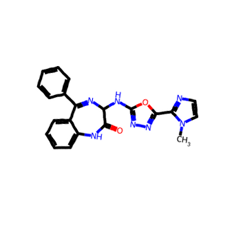 Cn1ccnc1-c1nnc(NC2N=C(c3ccccc3)c3ccccc3NC2=O)o1